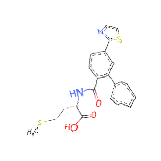 CSCC[C@H](NC(=O)c1ccc(-c2nccs2)cc1-c1ccccc1)C(=O)O